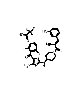 N#C/C(=C\c1cccc(O)c1)C(=O)N1CCC(Nc2nc(N)c(C(=O)c3c(F)cccc3F)s2)CC1.O=C(O)C(F)(F)F